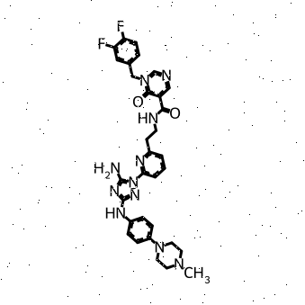 CN1CCN(c2ccc(Nc3nc(N)n(-c4cccc(CCNC(=O)c5cncn(Cc6ccc(F)c(F)c6)c5=O)n4)n3)cc2)CC1